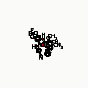 COc1ccc2nc(N3C4CC3CN(C(=O)OC(C)(C)C)C4)sc2c1C(=O)Nc1cc2c(cc1C(=O)NC13CC(C#N)(C1)C3)OC(F)(F)O2